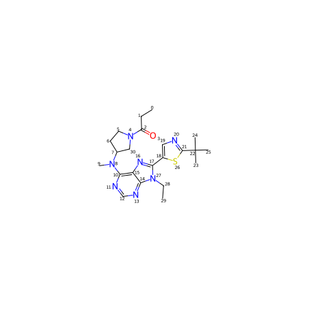 CCC(=O)N1CCC(N(C)c2ncnc3c2nc(-c2cnc(C(C)(C)C)s2)n3CC)C1